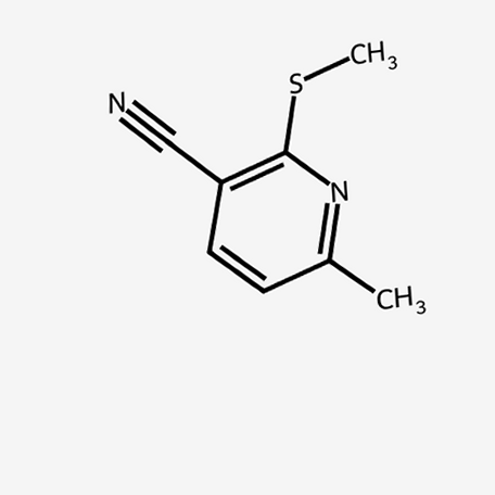 CSc1nc(C)ccc1C#N